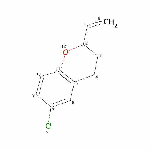 C=CC1CCc2cc(Cl)ccc2O1